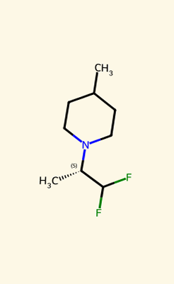 CC1CCN([C@@H](C)C(F)F)CC1